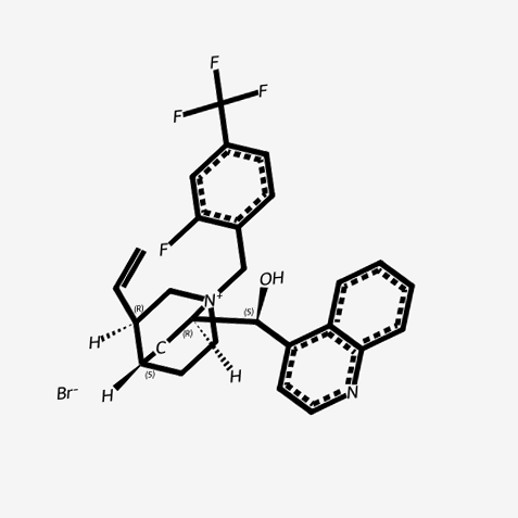 C=C[C@H]1C[N+]2(Cc3ccc(C(F)(F)F)cc3F)CC[C@H]1C[C@@H]2[C@@H](O)c1ccnc2ccccc12.[Br-]